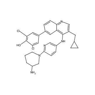 NC1CCCN(c2ccc(Nc3c(CC4CC4)cnc4ccc(-c5cc(Cl)c(O)c(Cl)c5)cc34)cn2)C1